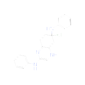 ClC1(Nc2ccccc2)C=CC2=NC(Nc3ccccc3)=CNC2=C1